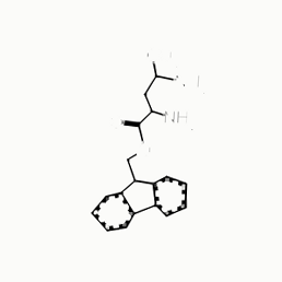 NC(CC(N)C(=O)OCC1c2ccccc2-c2ccccc21)C(=O)O